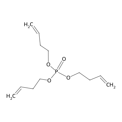 C=CCCOP(=O)(OCCC=C)OCCC=C